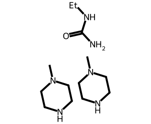 CCNC(N)=O.CN1CCNCC1.CN1CCNCC1